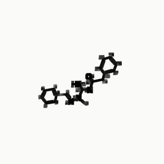 CN(N=Cc1ccccc1)C(S)=NC(=O)Cc1ccccc1